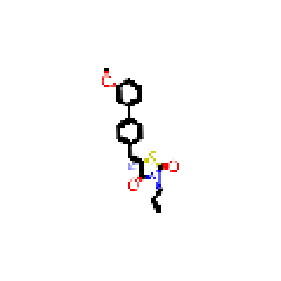 C=CCN1C(=O)S/C(=C\c2ccc(-c3cccc(OC)c3)cc2)C1=O